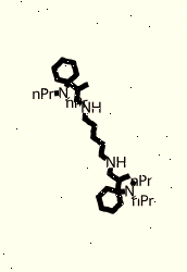 CCCN(CCC)C1(C(C)CNCCCCCNCC(C)C2(N(CCC)CCC)CCCCC2)CCCCC1